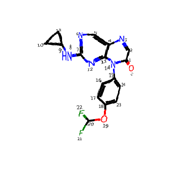 O=c1cnc2cnc(NC3CC3)nc2n1-c1ccc(OC(F)F)cc1